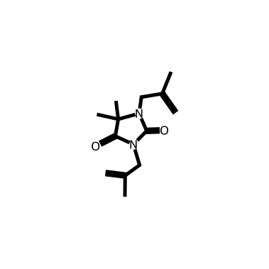 C=C(C)CN1C(=O)N(CC(=C)C)C(C)(C)C1=O